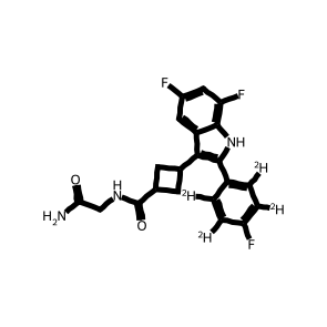 [2H]c1c([2H])c(-c2[nH]c3c(F)cc(F)cc3c2C2CC(C(=O)NCC(N)=O)C2)c([2H])c([2H])c1F